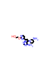 Nc1ncnn2c(-c3ccnc(OCCO)n3)cc(N3CCCC(N)C3)c12